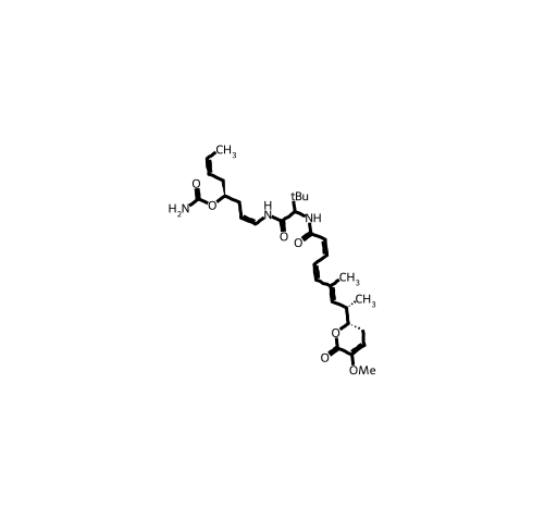 C/C=C\C[C@@H](C/C=C\NC(=O)C(NC(=O)\C=C/C=C\C(C)=C\[C@H](C)[C@@H]1CC=C(OC)C(=O)O1)C(C)(C)C)OC(N)=O